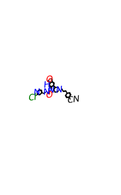 N#Cc1ccc(/C=C/CN2CCc3c(c4cc5c(cc4n3C(=O)NCc3ccnc(Cl)c3)COC5)C2)cc1